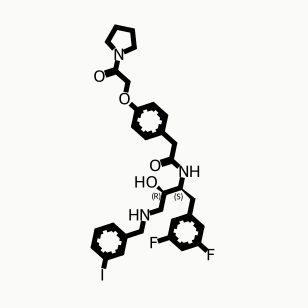 O=C(Cc1ccc(OCC(=O)N2CCCC2)cc1)N[C@@H](Cc1cc(F)cc(F)c1)[C@H](O)CNCc1cccc(I)c1